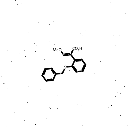 COC=C(C(=O)O)c1ccccc1SCc1ccccc1